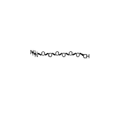 C#CCOCCOCCOCCOCCOCCOCCN=[N+]=[N-]